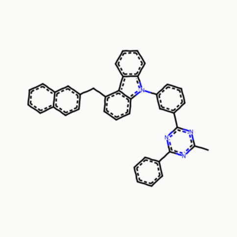 Cc1nc(-c2ccccc2)nc(-c2cccc(-n3c4ccccc4c4c(Cc5ccc6ccccc6c5)cccc43)c2)n1